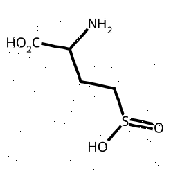 NC(CCS(=O)O)C(=O)O